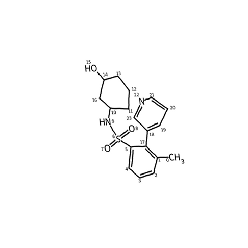 Cc1cccc(S(=O)(=O)NC2CCCC(O)C2)c1-c1cccnc1